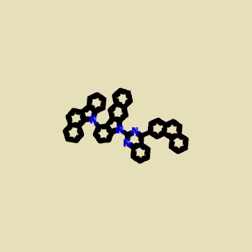 c1ccc2cc3c(cc2c1)c1c(-n2c4ccccc4c4ccc5ccccc5c42)cccc1n3-c1nc(-c2ccc3ccc4ccccc4c3c2)c2ccccc2n1